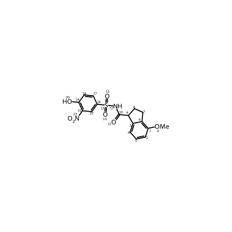 COc1cccc2c1CCC2C(=O)NS(=O)(=O)c1ccc(O)c([N+](=O)[O-])c1